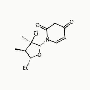 CC[C@H]1O[C@@H](N2C=CC(=O)CC2=O)[C@](C)(Cl)[C@@H]1C